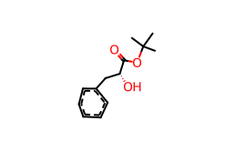 CC(C)(C)OC(=O)[C@H](O)Cc1ccccc1